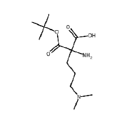 CN(C)CCCC(N)(C(=O)O)C(=O)OC(C)(C)C